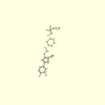 Cc1ccc(-c2nc(COC[C@H]3CCC[C@@H](COC(C)(C)C(=O)O)C3)c(C(C)C)o2)cc1C